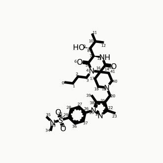 CCCCN1C(=O)[C@@H]([C@H](O)C(C)C)NC(=O)C12CCN(Cc1c(C)nn(-c3ccc(S(=O)(=O)N(C)C)cc3)c1C)CC2